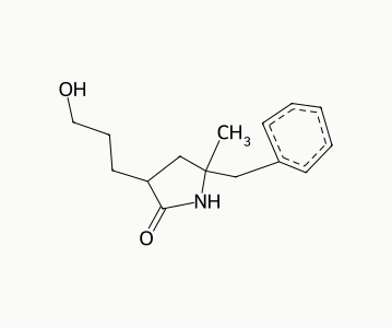 CC1(Cc2ccccc2)CC(CCCO)C(=O)N1